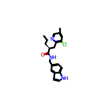 CCC[C@@H](Cc1ncc(C)cc1Cl)C(=O)NCc1ccc2[nH]ccc2c1